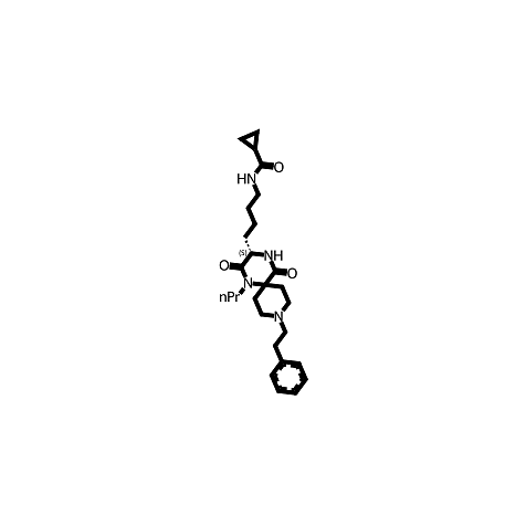 CCCN1C(=O)[C@H](CCCCNC(=O)C2CC2)NC(=O)C12CCN(CCc1ccccc1)CC2